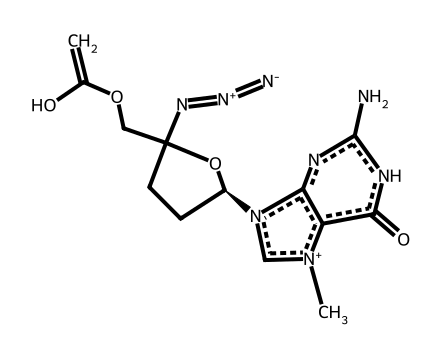 C=C(O)OCC1(N=[N+]=[N-])CC[C@H](n2c[n+](C)c3c(=O)[nH]c(N)nc32)O1